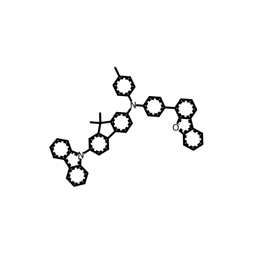 Cc1ccc(N(c2ccc(-c3cccc4c3oc3ccccc34)cc2)c2ccc3c(c2)C(C)(C)c2cc(-n4c5ccccc5c5ccccc54)ccc2-3)cc1